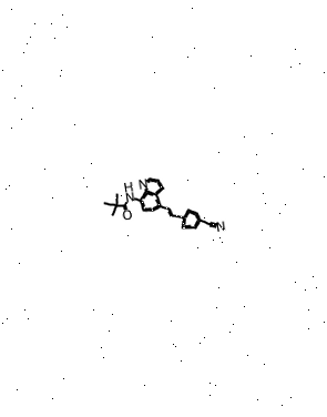 CC(C)(C)C(=O)Nc1ccc(C=Cc2ccc(C#N)cc2)c2cccnc12